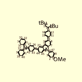 COc1ccc(-n2c3ccc(-c4ccc(C(CC(C)(C)C)C(C)(C)C)cc4)cc3c3cc(-c4ccc(N(C5=CC=CCC5)c5ccccc5)cc4)ccc32)cc1